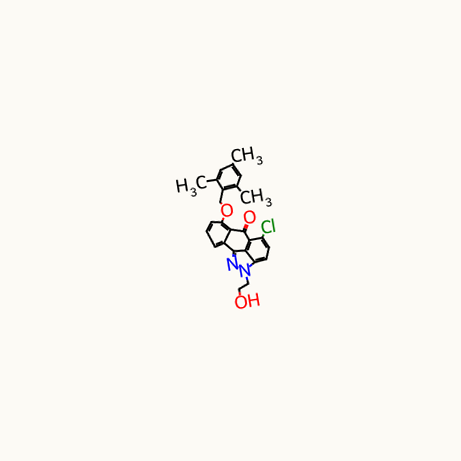 Cc1cc(C)c(COc2cccc3c2C(=O)c2c(Cl)ccc4c2c-3nn4CCO)c(C)c1